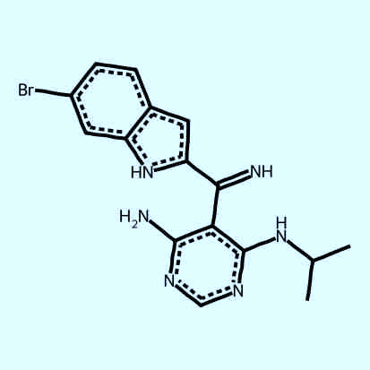 CC(C)Nc1ncnc(N)c1C(=N)c1cc2ccc(Br)cc2[nH]1